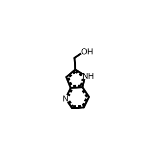 OCc1cc2ncccc2[nH]1